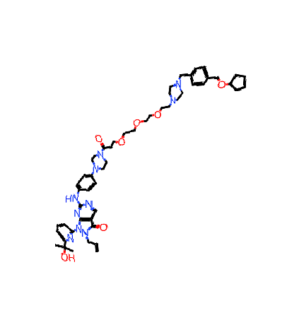 C=CCn1c(=O)c2cnc(Nc3ccc(N4CCN(C(=O)CCOCCOCCOCCN5CCN(Cc6ccc(COC7CCCC7)cc6)CC5)CC4)cc3)nc2n1-c1cccc(C(C)(C)O)n1